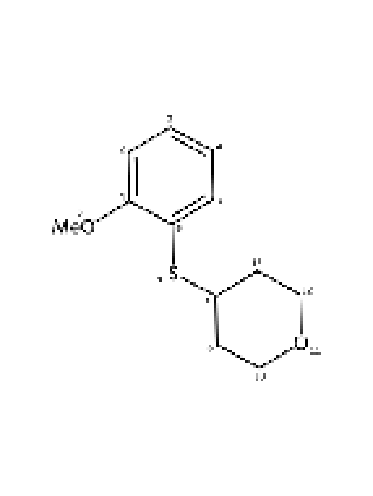 COc1ccccc1SC1CCOCC1